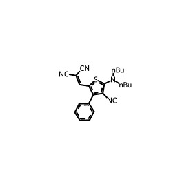 [C-]#[N+]c1c(N(CCCC)CCCC)sc(C=C(C#N)C#N)c1-c1ccccc1